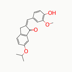 COc1cc(C=C2Cc3ccc(OC(C)C)cc3C2=O)ccc1O